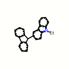 CCn1c2ccccc2c2cc(C3c4ccccc4-c4ccccc43)ccc21